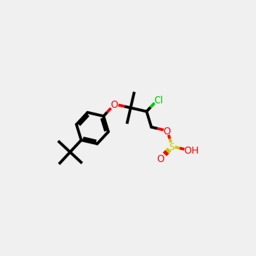 CC(C)(C)c1ccc(OC(C)(C)C(Cl)COS(=O)O)cc1